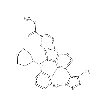 COC(=O)c1cnc2c3ccc(-c4c(C)nnn4C)c(F)c3n([C@H](c3ccccc3)C3CCOCC3)c2c1